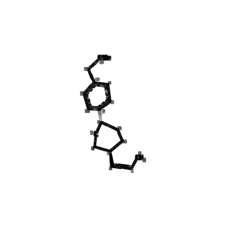 C/C=C\[C@H]1CC[C@H](c2ccc(COC)cc2)CC1